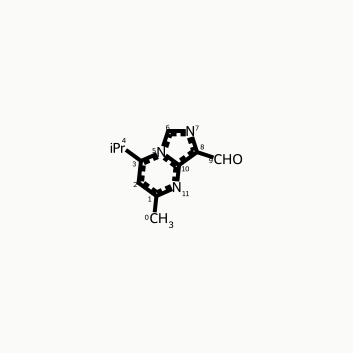 Cc1cc(C(C)C)n2cnc(C=O)c2n1